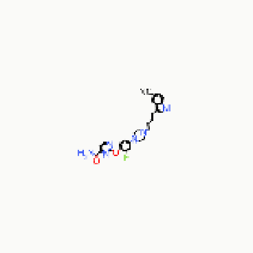 N#Cc1ccc2[nH]cc(CCCCN3CCN(c4ccc(Oc5nccc(C(N)=O)n5)c(F)c4)CC3)c2c1